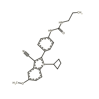 CCCNC(=O)Nc1ccc(-c2c(C#N)c3cc(OC)ccc3n2C2CCC2)cc1